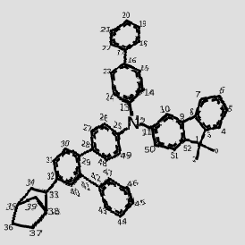 CC1(C)c2ccccc2-c2cc(N(c3ccc(-c4ccccc4)cc3)c3ccc(-c4ccc(C5CC6CCC5C6)cc4-c4ccccc4)cc3)ccc21